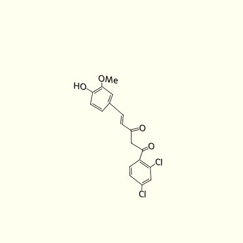 COc1cc(C=CC(=O)CC(=O)c2ccc(Cl)cc2Cl)ccc1O